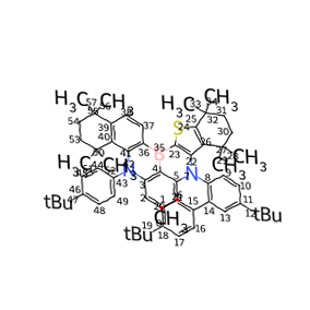 Cc1cc2c3c(c1)N(c1ccc(C(C)(C)C)cc1-c1ccc(C(C)(C)C)cc1)c1c(sc4c1C(C)(C)CCC4(C)C)B3c1ccc3c(c1N2c1ccc(C(C)(C)C)cc1)C(C)(C)CCC3(C)C